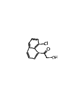 O=C(CO)c1cccc2cccc(Cl)c12